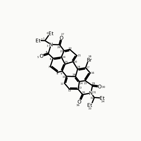 CCC(CC)N1C(=O)c2ccc3c4ccc5c6c(cc(Br)c(c7ccc(c2c37)C1=O)c64)C(=O)N(C(CC)CC)C5=O